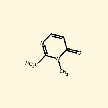 Cn1c(C(=O)O)nccc1=O